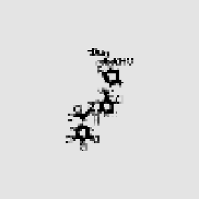 CC(C)(C)OC(=O)N(C=O)c1cc(F)c(NC(=O)c2cc(NC(=O)C3[C@H](c4cc(Cl)c(Cl)c(Cl)c4)C3(Cl)Cl)ccc2Cl)cc1F